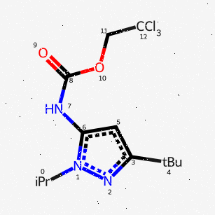 CC(C)n1nc(C(C)(C)C)cc1NC(=O)OCC(Cl)(Cl)Cl